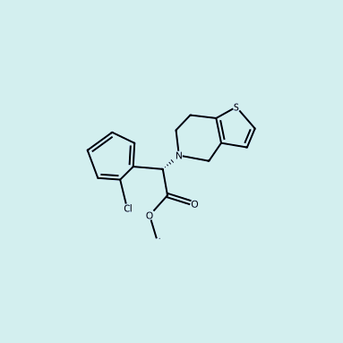 [CH2]OC(=O)[C@H](c1ccccc1Cl)N1CCc2sccc2C1